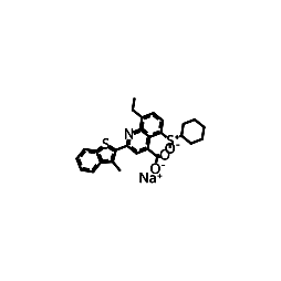 CCc1ccc([S+]([O-])C2CCCCC2)c2c(C(=O)[O-])cc(-c3sc4ccccc4c3C)nc12.[Na+]